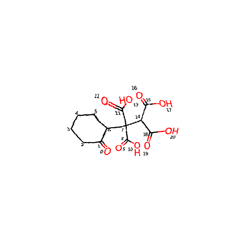 O=C1CCCCC1C(C(=O)O)(C(=O)O)C(C(=O)O)C(=O)O